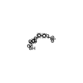 CS(=O)(=O)CCCOc1ccc(-c2cccc(COc3cc4c(cn3)[C@@H](CC(=O)O)CO4)c2)cc1